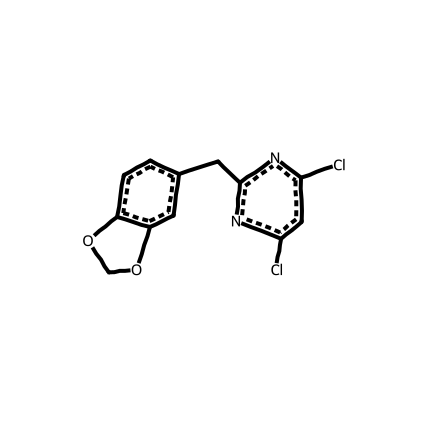 Clc1cc(Cl)nc(Cc2ccc3c(c2)OCO3)n1